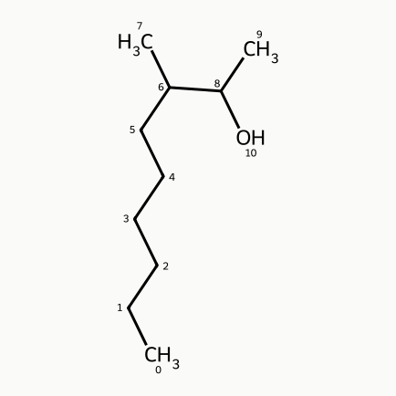 CCCCCCC(C)C(C)O